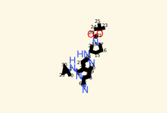 CC1(Nc2nc(C#N)cc3cnc(N[C@H]4CCCN(C(=O)OC(C)(C)C)C4)cc23)CC1